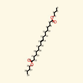 CCCCOC(=O)CCCCCCCC=CCCCCCCCC(=O)OCCCC